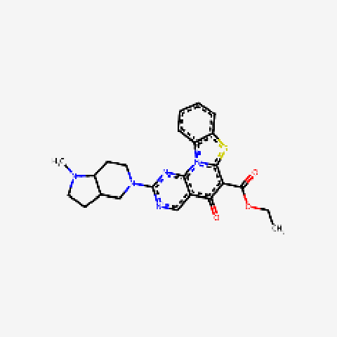 CCOC(=O)c1c(=O)c2cnc(N3CCC4C(CCN4C)C3)nc2n2c1sc1ccccc12